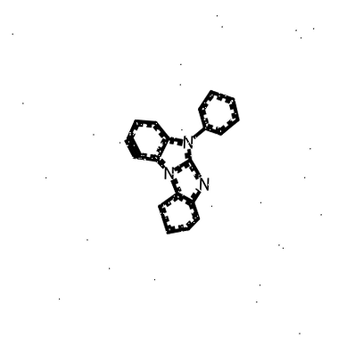 c1ccc2c(c#1)n1c3ccccc3nc1n2-c1ccccc1